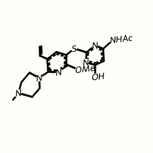 C=Cc1cc(Sc2nc(O)cc(NC(C)=O)n2)c(OC)nc1N1CCN(C)CC1